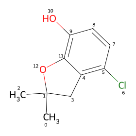 CC1(C)Cc2c(Cl)ccc(O)c2O1